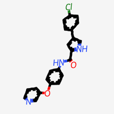 O=C(Nc1ccc(Oc2cccnc2)cc1)c1cc(-c2ccc(Cl)cc2)c[nH]1